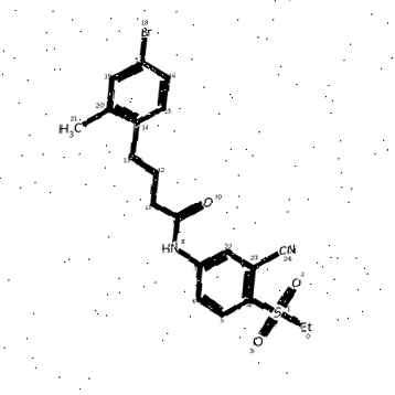 CCS(=O)(=O)c1ccc(NC(=O)CCCc2ccc(Br)cc2C)cc1C#N